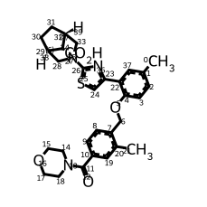 Cc1ccc(OCc2ccc(C(=O)N3CCOCC3)cc2C)c(-c2csc(N3C[C@H]4CC[C@H](C3)C4C(=O)O)n2)c1